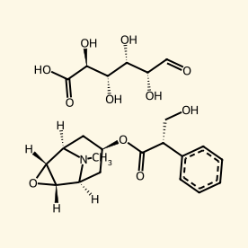 CN1[C@@H]2C[C@@H](OC(=O)[C@H](CO)c3ccccc3)C[C@H]1[C@@H]1O[C@@H]12.O=C[C@H](O)[C@@H](O)[C@H](O)[C@H](O)C(=O)O